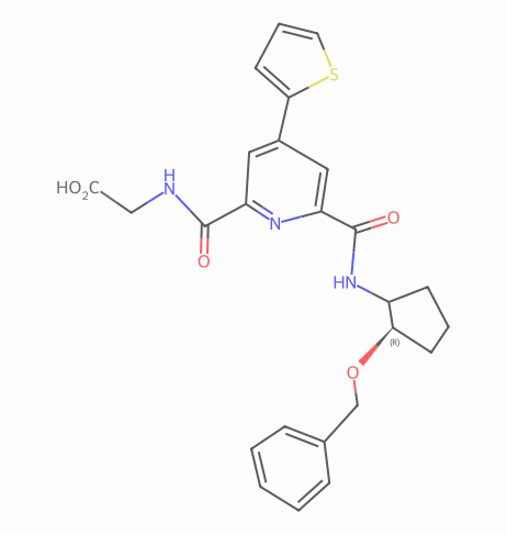 O=C(O)CNC(=O)c1cc(-c2cccs2)cc(C(=O)NC2CCC[C@H]2OCc2ccccc2)n1